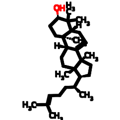 CC(C)=CCC[C@H](C)[C@@H]1CC[C@]2(C)C3=CC[C@H]4C(C)(C)[C@@H](O)CC[C@]4(C)[C@H]3CC[C@@]12C